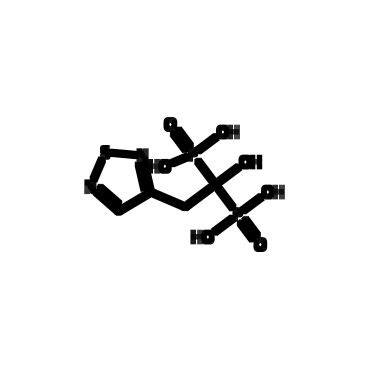 O=P(O)(O)C(O)(Cc1cnsn1)P(=O)(O)O